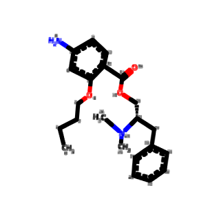 CCCCOc1cc(N)ccc1C(=O)OC[C@H](Cc1ccccc1)N(C)C